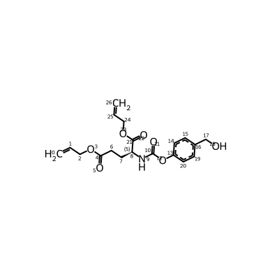 C=CCOC(=O)CC[C@H](NC(=O)Oc1ccc(CO)cc1)C(=O)OCC=C